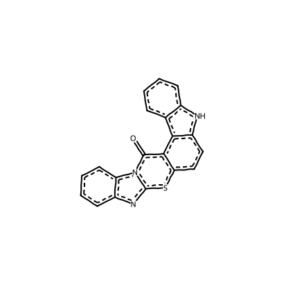 O=c1c2c(ccc3[nH]c4ccccc4c32)sc2nc3ccccc3n12